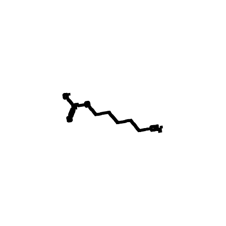 [CH2]CCCCCO[N+](=O)[O-]